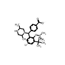 CC1CN(C(c2ccc(C(=O)[O-])cc2)c2cccc(C(C)(C)C)c2O[SiH](C)C)C(C)CN1.[Li+]